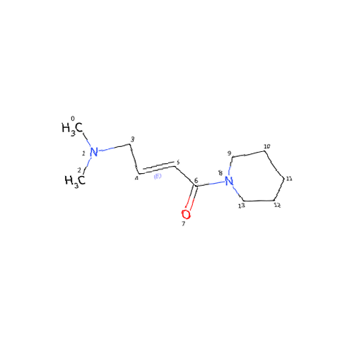 CN(C)C/C=C/C(=O)N1CCCCC1